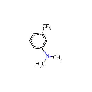 CN(C)c1cc[c]c(C(F)(F)F)c1